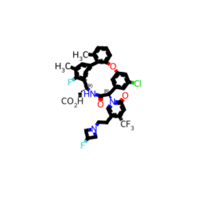 Cc1cc2cc(c1F)[C@@H](CC(=O)O)NC(=O)[C@H](n1cc(CCN3CC(F)C3)c(C(F)(F)F)cc1=O)c1cc(Cl)cc(c1)Oc1cccc(C)c1-2